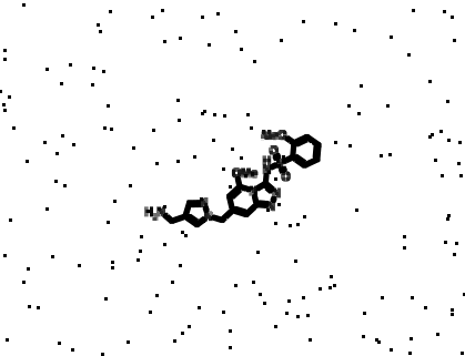 COc1ccccc1S(=O)(=O)Nc1nnc2cc(Cn3cc(CN)cn3)cc(OC)n12